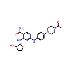 CC(=O)N1CCN(c2ccc(Nc3ncc(C(N)=O)c(N[C@@H]4CCCC4O)n3)cc2)CC1